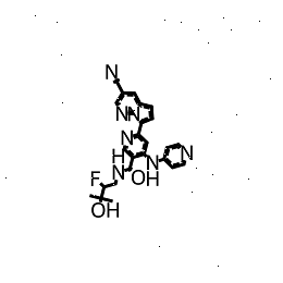 CC(C)(O)C(F)CNC(=O)c1cnc(-c2ccc3cc(C#N)cnn23)cc1Nc1ccncc1